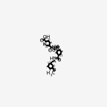 COc1cccc(CCNC(=O)c2cccc(S(=O)(=O)NC(=O)c3ccc(C(=O)O)nc3)c2)c1